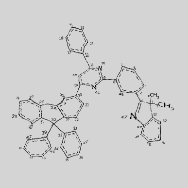 CC1(C)C(c2cccc(-c3nc(-c4ccccc4)cc(-c4ccc5c(c4)-c4ccccc4C5(c4ccccc4)c4ccccc4)n3)c2)=Nc2ccccc21